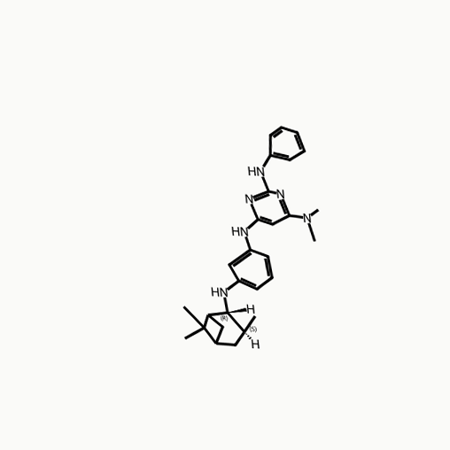 C[C@H]1CC2CC([C@@H]1Nc1cccc(Nc3cc(N(C)C)nc(Nc4ccccc4)n3)c1)C2(C)C